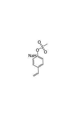 C=Cc1ccc(OS(C)(=O)=O)cc1.[NaH]